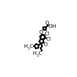 CCCCC1(C2CCC(C)C2)Cc2cc(OC3CC(C(=O)O)C3)c(Cl)c(Cl)c2C1=O